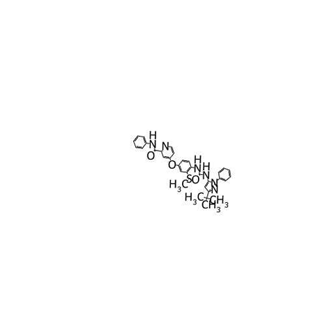 CSc1cc(Oc2ccnc(C(=O)Nc3ccccc3)c2)ccc1NC(=O)Nc1cc(C(C)(C)C)nn1-c1ccccc1